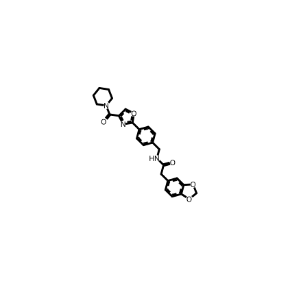 O=C(Cc1ccc2c(c1)OCO2)NCc1ccc(-c2nc(C(=O)N3CCCCC3)co2)cc1